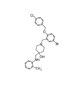 Cc1ccccc1NCC1(O)CCN(Cc2cc(Br)ccc2OCc2ccc(Cl)cc2)CC1